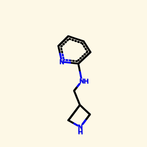 c1ccc(NCC2CNC2)nc1